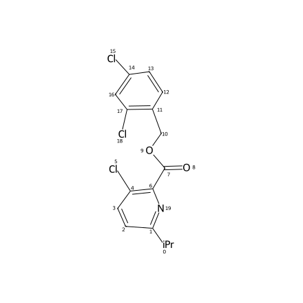 CC(C)c1ccc(Cl)c(C(=O)OCc2ccc(Cl)cc2Cl)n1